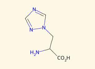 NC(Cn1cncn1)C(=O)O